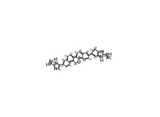 CC(=O)Pc1ncc(-c2ccc3c4c(ccc3c2)-c2ccc3cc(-c5ccc6nc(PC(C)=O)[nH]c6c5)ccc3c2OC4)[nH]1